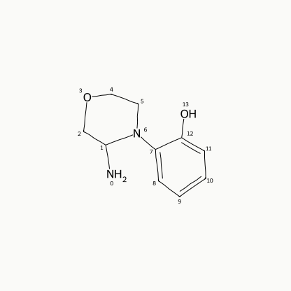 NC1COCCN1c1ccccc1O